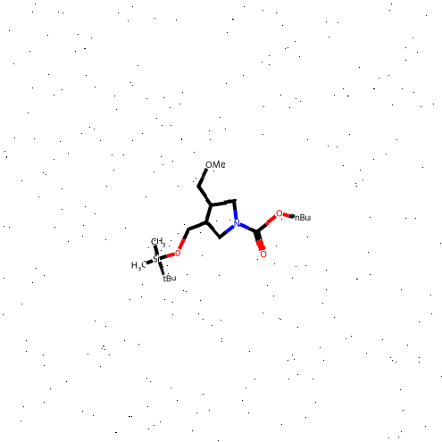 CCCCOC(=O)N1CC(COC)C(CO[Si](C)(C)C(C)(C)C)C1